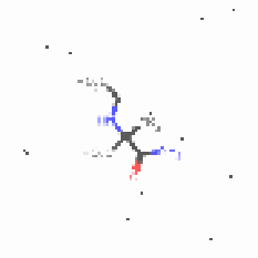 CC(NCC(=O)O)(C(N)=O)C(=O)O